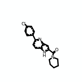 O=C(c1cc2nc(-c3ccc(Cl)cc3)ccc2[nH]1)N1CCCCC1